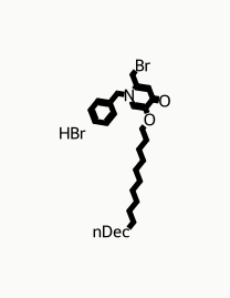 Br.CCCCCCCCCCCCCCCCCCCCOc1cn(Cc2ccccc2)c(CBr)cc1=O